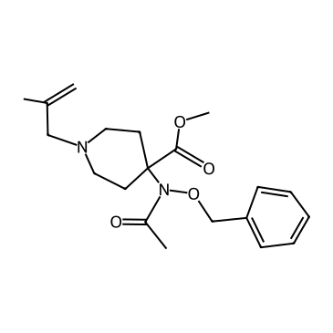 C=C(C)CN1CCC(C(=O)OC)(N(OCc2ccccc2)C(C)=O)CC1